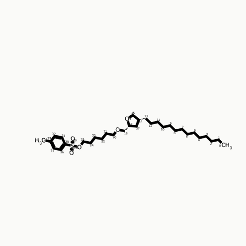 CCCCCCCCCCCCCC[C@H]1CO[C@@H](COCCCCCCOS(=O)(=O)c2ccc(C)cc2)C1